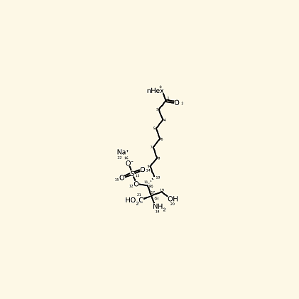 CCCCCCC(=O)CCCCCCCC[C@@H](OS(=O)(=O)[O-])[C@@](N)(CO)C(=O)O.[Na+]